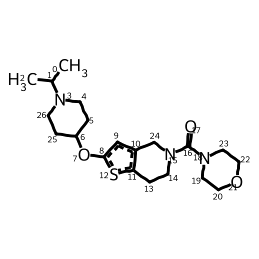 CC(C)N1CCC(Oc2cc3c(s2)CCN(C(=O)N2CCOCC2)C3)CC1